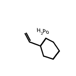 C=CC1CCCCC1.[PoH2]